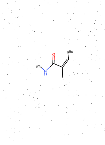 CCCCC=C(C)C(=O)NC(C)C